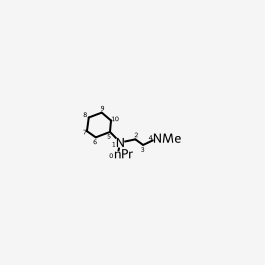 CCCN(CCNC)C1CCCCC1